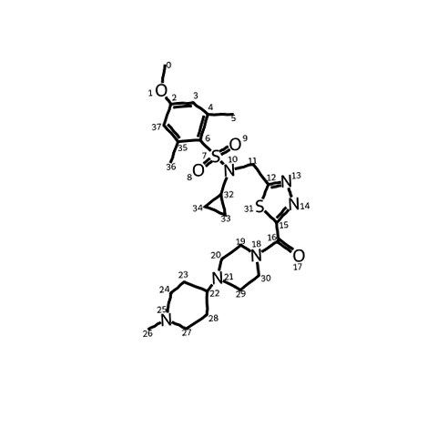 COc1cc(C)c(S(=O)(=O)N(Cc2nnc(C(=O)N3CCN(C4CCN(C)CC4)CC3)s2)C2CC2)c(C)c1